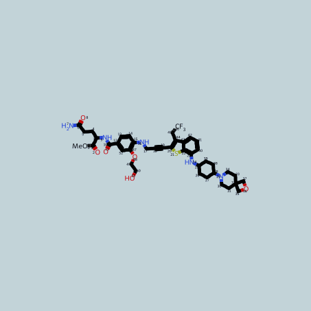 COC(=O)C(CCC(N)=O)NC(=O)c1ccc(NCC#Cc2sc3c(NC4CCC(N5CCC6(CC5)COC6)CC4)cccc3c2CC(F)(F)F)c(OCCO)c1